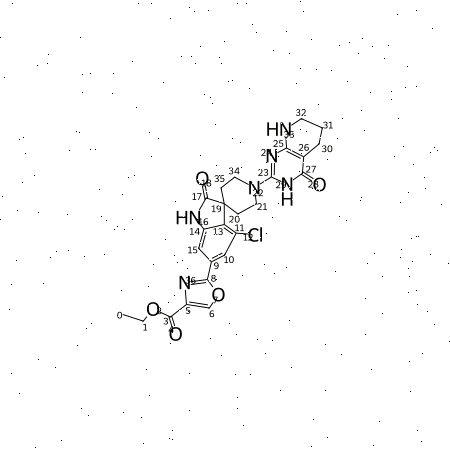 CCOC(=O)c1coc(-c2cc(Cl)c3c(c2)NC(=O)C32CCN(c3nc4c(c(=O)[nH]3)CCCN4)CC2)n1